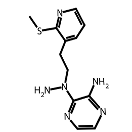 CSc1ncccc1CCN(N)c1nccnc1N